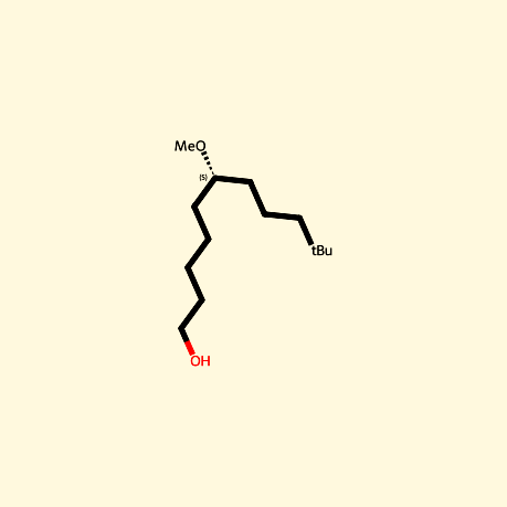 CO[C@@H](CCCCCO)CCCC(C)(C)C